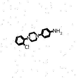 Nc1ccc(N2CCN(c3ccccc3Cl)CC2)cc1